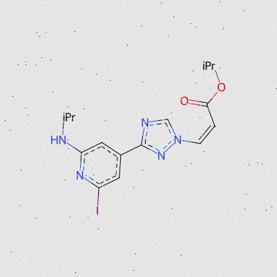 CC(C)Nc1cc(-c2ncn(/C=C\C(=O)OC(C)C)n2)cc(I)n1